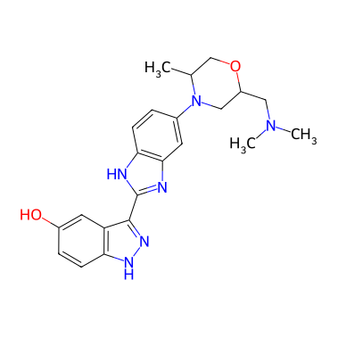 CC1COC(CN(C)C)CN1c1ccc2[nH]c(-c3n[nH]c4ccc(O)cc34)nc2c1